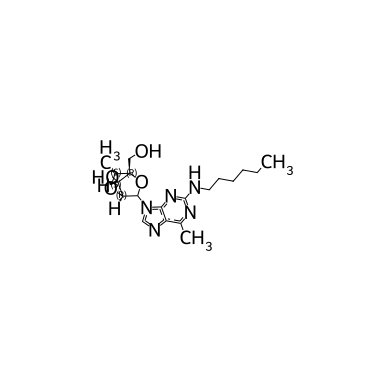 CCCCCCNc1nc(C)c2ncn(C3O[C@@]4(CO)[C@H](C)O[C@@H]3[C@@H]4O)c2n1